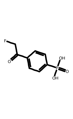 O=C(CF)c1ccc(P(=O)(O)O)cc1